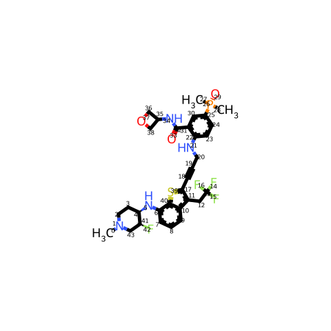 CN1CC[C@@H](Nc2cccc3c(CC(F)(F)F)c(C#CCNc4ccc(P(C)(C)=O)cc4C(=O)NC4COC4)sc23)[C@@H](F)C1